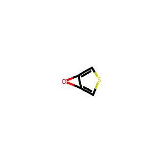 c1scc2c1O2